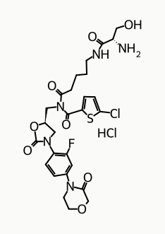 Cl.N[C@@H](CO)C(=O)NCCCCC(=O)N(C[C@H]1CN(c2ccc(N3CCOCC3=O)cc2F)C(=O)O1)C(=O)c1ccc(Cl)s1